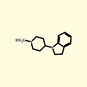 CCOC(=O)N1CCC(N2CCc3ccccc32)CC1